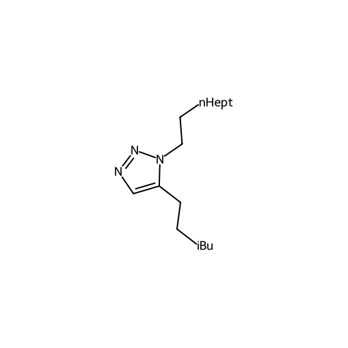 CCCCCCCCCn1nncc1CCC(C)CC